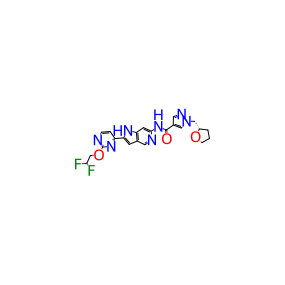 O=C(Nc1cc2[nH]c(-c3ccnc(OCC(F)F)n3)cc2cn1)c1cnn(C[C@@H]2CCCO2)c1